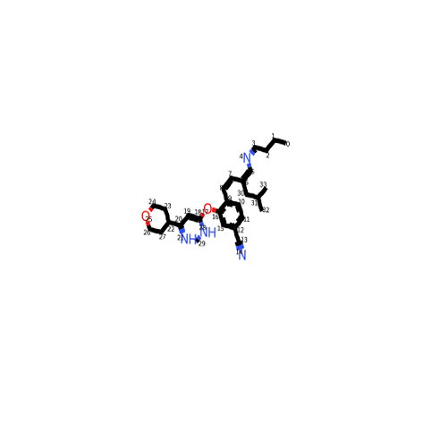 CCC\C=N/C=C(\C=C/c1ccc(C#N)cc1O/C(=C/C(=N)C1CCOCC1)NC)CC(C)C